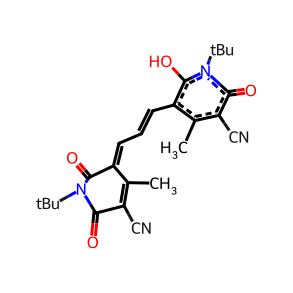 CC1=C(C#N)C(=O)N(C(C)(C)C)C(=O)/C1=C/C=C/c1c(C)c(C#N)c(=O)n(C(C)(C)C)c1O